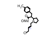 COC(=O)C(Cc1ccc(C)cc1)C1CCCN1C/C=C/CCl